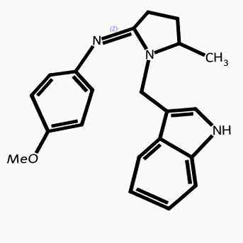 COc1ccc(/N=C2/CCC(C)N2Cc2c[nH]c3ccccc23)cc1